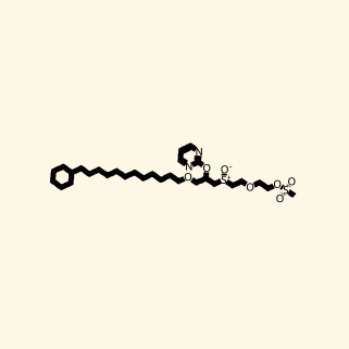 CS(=O)(=O)OCCOCC[S+]([O-])CC(COCCCCCCCCCCCCC1CCCCC1)Oc1ncccn1